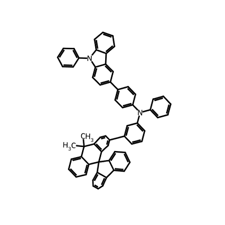 CC1(C)c2ccccc2C2(c3ccccc3-c3ccccc32)c2cc(-c3cccc(N(c4ccccc4)c4ccc(-c5ccc6c(c5)c5ccccc5n6-c5ccccc5)cc4)c3)ccc21